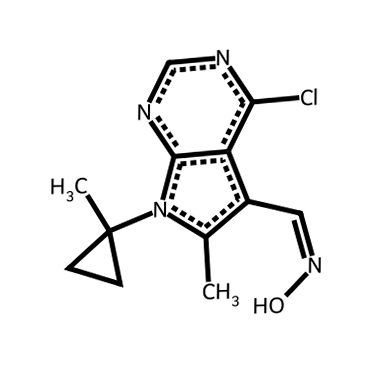 Cc1c(/C=N\O)c2c(Cl)ncnc2n1C1(C)CC1